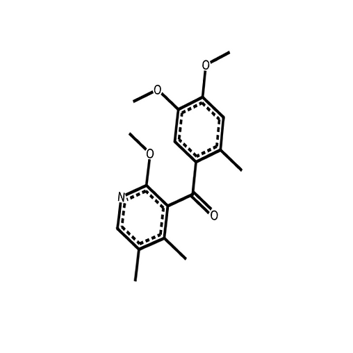 COc1cc(C)c(C(=O)c2c(OC)ncc(C)c2C)cc1OC